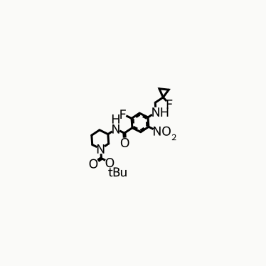 CC(C)(C)OC(=O)N1CCCC(NC(=O)c2cc([N+](=O)[O-])c(NCC3(F)CC3)cc2F)C1